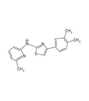 Cc1cccc(Nc2nc(-c3ccc(C)c(C)c3)cs2)n1